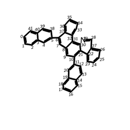 c1ccc2cc(-c3cc4cc(-c5ccc6ccccc6c5)c5c6ccccc6cnc5c4c4ccccc34)ccc2c1